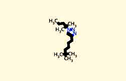 CCCC(C)(C)n1cc(CCCCC(C)(C)C)nn1